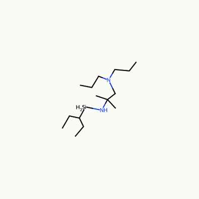 CCCN(CCC)CC(C)(C)N[SiH2]C(CC)CC